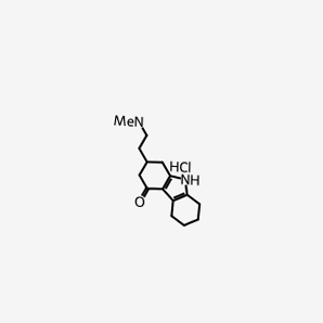 CNCCC1CC(=O)c2c([nH]c3c2CCCC3)C1.Cl